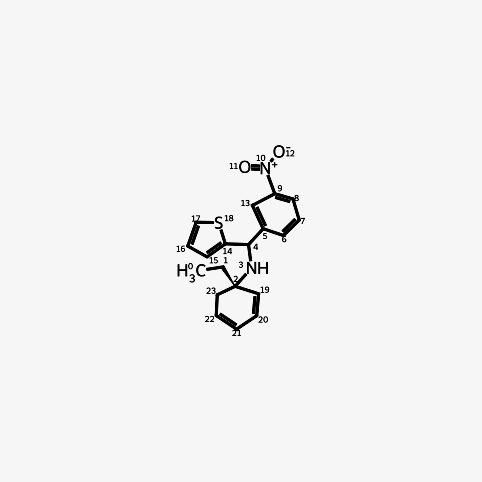 CC[C@@]1(NC(c2cccc([N+](=O)[O-])c2)c2cccs2)C=CC=CC1